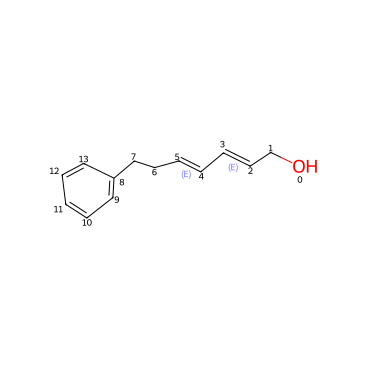 OC/C=C/C=C/CCc1ccccc1